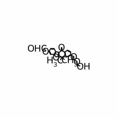 CC1(C)c2cc(OCOCO)ccc2C(=O)c2c1oc1cc(OC=O)ccc21